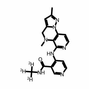 [2H]C([2H])([2H])NC(=O)c1cnccc1Nc1nccc2c1N(C)Cc1cc(C)nn1-2